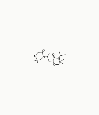 CC(CC1OCC(C)(C)N(C(C)C)C1=O)N1CC(C)(C)OCC1=O